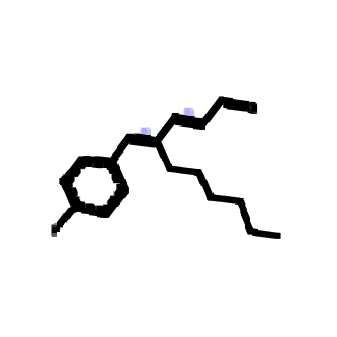 CCCCCCC(/C=C/C=O)=C\c1ccc(F)cc1